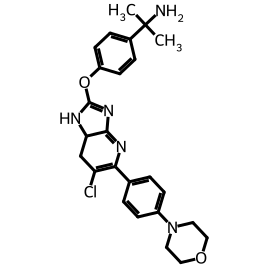 CC(C)(N)c1ccc(OC2=NC3=NC(c4ccc(N5CCOCC5)cc4)=C(Cl)CC3N2)cc1